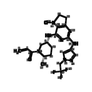 C=CC(=O)N1C[C@H](Nc2nc(Nc3cnn(CC(F)(F)F)c3)nc3c2N(Cl)CC3)CC[C@@H]1C